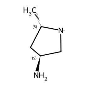 C[C@H]1C[C@H](N)C[N]1